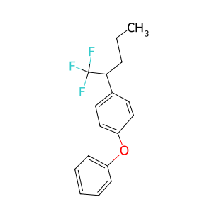 CCCC(c1ccc(Oc2ccccc2)cc1)C(F)(F)F